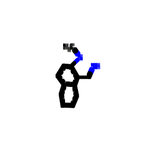 C=Nc1ccc2ccccc2c1C=N